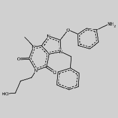 Cn1c(=O)n(CCCO)c(=O)c2c1nc(Oc1cccc(N)c1)n2Cc1ccccc1